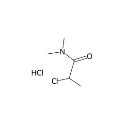 CC(Cl)C(=O)N(C)C.Cl